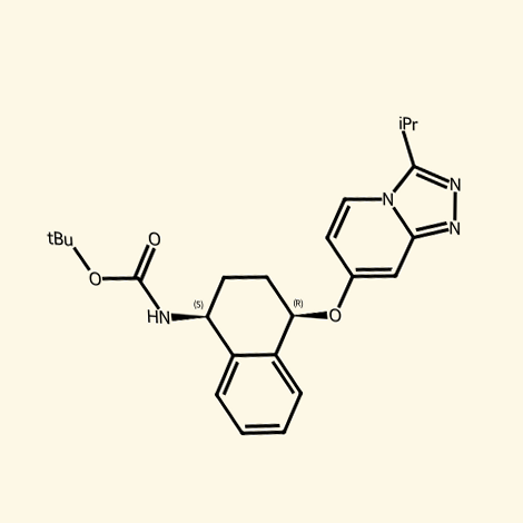 CC(C)c1nnc2cc(O[C@@H]3CC[C@H](NC(=O)OC(C)(C)C)c4ccccc43)ccn12